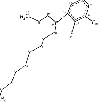 CCCCCCCCCP(CCC)c1cccc(F)c1F